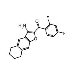 Nc1c(C(=O)c2ccc(F)cc2F)oc2cc3c(cc12)CCCC3